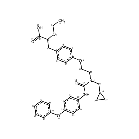 CCOC(Cc1ccc(OCCN(CC2CC2)C(=O)Nc2ccc(Oc3ccccc3)cc2)cc1)C(=O)O